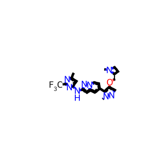 Cc1cc(Nc2cc3cc(-c4c(OC[C@@H]5CCN5C)cnn4C)ccn3n2)nc(C(F)(F)F)n1